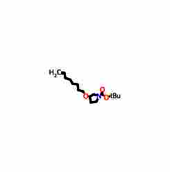 C=CCCCCCCO[C@@H]1CCN(C(=O)OC(C)(C)C)C1